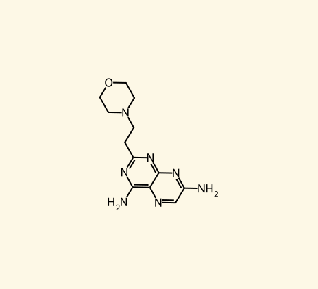 Nc1cnc2c(N)nc(CCN3CCOCC3)nc2n1